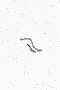 CNC.COCCOC